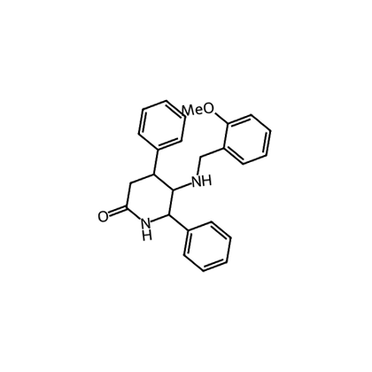 COc1ccccc1CNC1C(c2ccccc2)CC(=O)NC1c1ccccc1